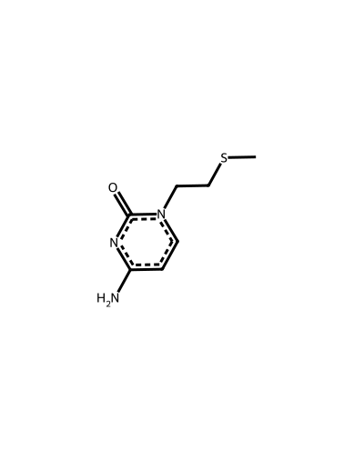 CSCCn1ccc(N)nc1=O